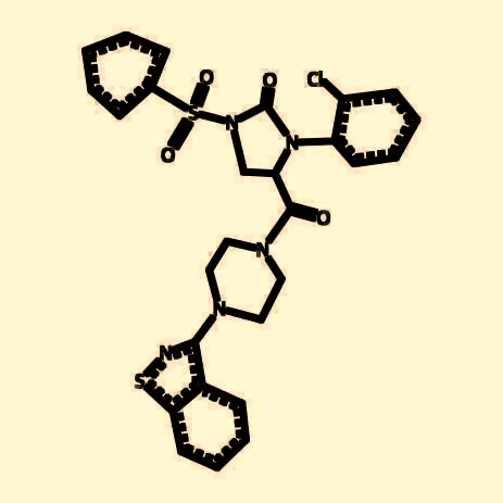 O=C(C1CN(S(=O)(=O)c2ccccc2)C(=O)N1c1ccccc1Cl)N1CCN(c2nsc3ccccc23)CC1